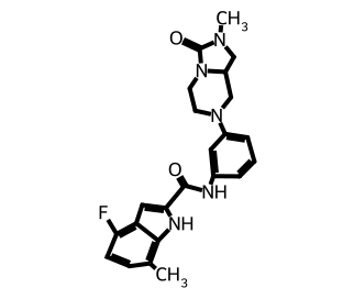 Cc1ccc(F)c2cc(C(=O)Nc3cccc(N4CCN5C(=O)N(C)CC5C4)c3)[nH]c12